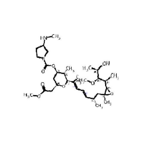 CNC1CCN(C(=O)O[C@@H]2C[C@H](CC(=O)OC)O[C@H](/C(C)=C/C=C/[C@@H](C)C[C@@]3(C)O[C@@H]3[C@H](C)[C@@H](OC)[C@@H](C)O)[C@H]2C)C1